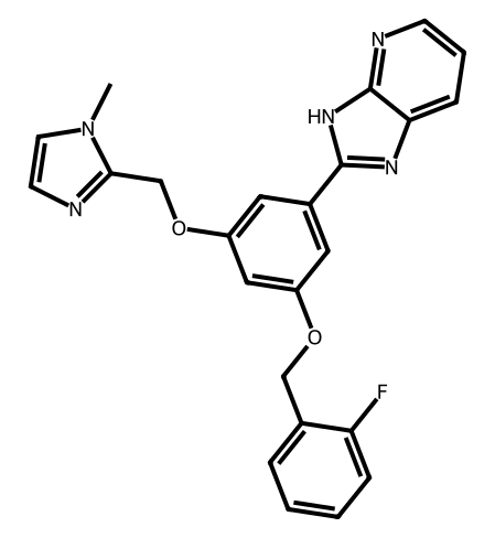 Cn1ccnc1COc1cc(OCc2ccccc2F)cc(-c2nc3cccnc3[nH]2)c1